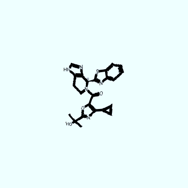 CC(C)(O)c1nc(C2CC2)c(C(=O)N2CCc3[nH]cnc3[C@H]2c2nc3ccccc3s2)o1